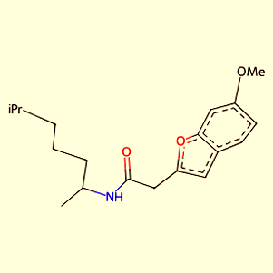 COc1ccc2cc(CC(=O)NC(C)CCCC(C)C)oc2c1